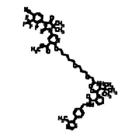 COC(=O)c1cc(N2C(=S)N(c3ccc(C#N)c(C(F)(F)F)c3F)C(=O)C2(C)C)cnc1OCCCCCOCCCOCC(=O)NC(C(=O)N1CCCC1C(=O)NCc1ccc(-c2scnc2C)cc1)C(C)(C)C